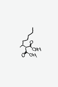 CCCCCC(C)C(C(=O)O)C(=O)O